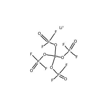 O=P(F)(F)O[B-](OP(=O)(F)F)(OP(=O)(F)F)OP(=O)(F)F.[Li+]